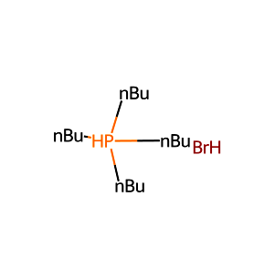 Br.CCCC[PH](CCCC)(CCCC)CCCC